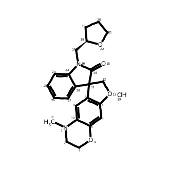 CN1CCOc2cc3c(cc21)C1(CO3)C(=O)N(C[C@H]2CCCO2)c2ccccc21.Cl